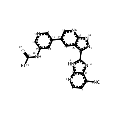 [C-]#[N+]c1ccnc2[nH]c(-c3n[nH]c4ncc(-c5cncc(NC(=O)CC)c5)cc34)nc12